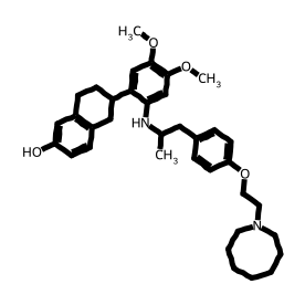 COc1cc(NC(C)Cc2ccc(OCCN3CCCCCCC3)cc2)c(C2CCc3cc(O)ccc3C2)cc1OC